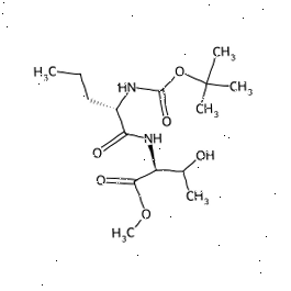 CCC[C@H](NC(=O)OC(C)(C)C)C(=O)N[C@H](C(=O)OC)C(C)O